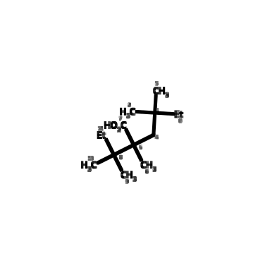 CCC(C)(C)CC(C)(C(=O)O)C(C)(C)CC